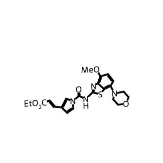 CCOC(=O)C=Cc1ccn(C(=O)Nc2nc3c(OC)ccc(N4CCOCC4)c3s2)c1